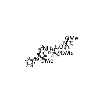 COc1cccc(COc2cc(/C=C/C3NCCc4cc(OCc5ccccc5)c(OC)cc43)c(C)cc2OC)n1